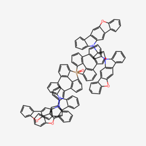 O=S12(c3cccc(-c4cccc(-n5c6ccccc6c6cc7oc8ccccc8c7cc65)c4)c3-c3c(-c4cccc(-n5c6ccccc6c6cc7oc8ccccc8c7cc65)c4)cccc31)c1cccc(-c3cccc(-n4c5ccccc5c5cc6oc7ccccc7c6cc54)c3)c1-c1c(-c3cccc(-n4c5ccccc5c5cc6oc7ccccc7c6cc54)c3)cccc12